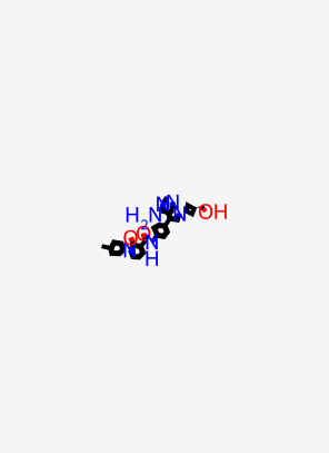 Cc1ccc(-n2cccc(C(=O)Nc3ccc(-c4cn([C@H]5C[C@@H](CO)C5)c5ncnc(N)c45)cc3)c2=O)cc1